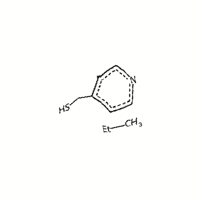 CCC.Sc1ccncc1